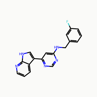 Fc1cccc(CNc2cc(-c3c[nH]c4ncccc34)ncn2)c1